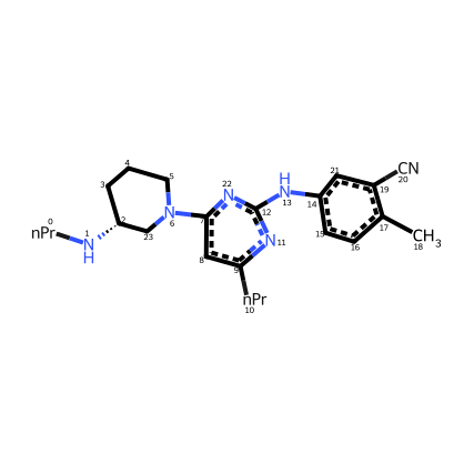 CCCN[C@@H]1CCCN(c2cc(CCC)nc(Nc3ccc(C)c(C#N)c3)n2)C1